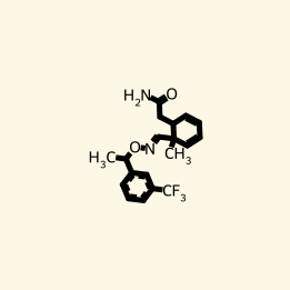 CC(O/N=C/C1(C)C=CC=CC1CC(N)=O)c1cccc(C(F)(F)F)c1